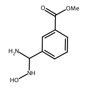 COC(=O)c1cccc(C(N)NO)c1